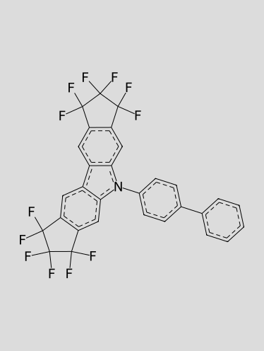 FC1(F)c2cc3c4cc5c(cc4n(-c4ccc(-c6ccccc6)cc4)c3cc2C(F)(F)C1(F)F)C(F)(F)C(F)(F)C5(F)F